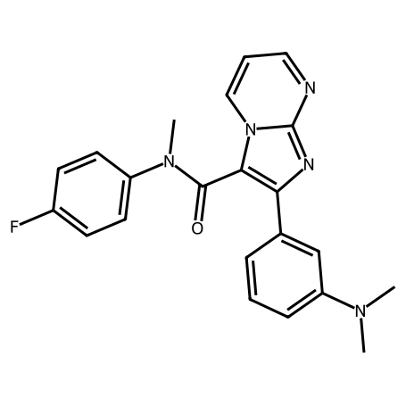 CN(C)c1cccc(-c2nc3ncccn3c2C(=O)N(C)c2ccc(F)cc2)c1